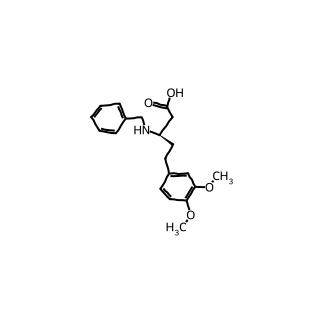 COc1ccc(CC[C@H](CC(=O)O)NCc2ccccc2)cc1OC